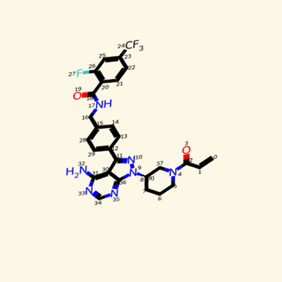 C=CC(=O)N1CCC[C@@H](n2nc(-c3ccc(CNC(=O)c4ccc(C(F)(F)F)cc4F)cc3)c3c(N)ncnc32)C1